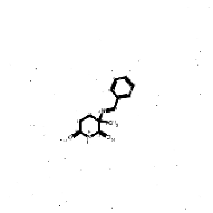 CC1(N=Cc2ccccc2)CCC(=O)NC1=O